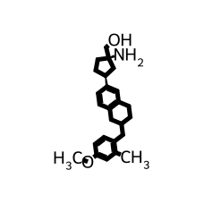 COc1ccc(CC2CCc3cc([C@H]4CC[C@](N)(CO)C4)ccc3C2)c(C)c1